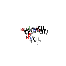 CCN(CC)C(=O)Oc1ccc(Br)c(Cl)c1C1CCN(C(=O)OC(C)(C)C)CC1